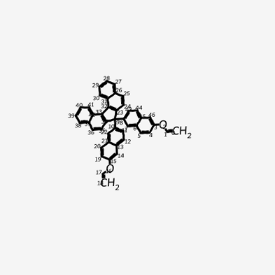 C=COc1ccc2cc(C3(c4ccc5cc(OC=C)ccc5c4)c4ccc5ccccc5c4-c4c3ccc3ccccc43)ccc2c1